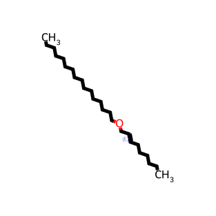 CCCCCC/C=C/COCCCCCCCCCCCCCCCC